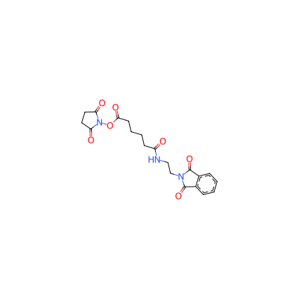 O=C(CCCCC(=O)ON1C(=O)CCC1=O)NCCN1C(=O)c2ccccc2C1=O